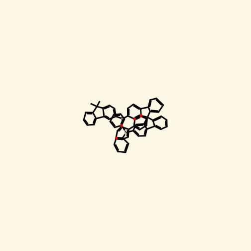 CC1(C)c2ccccc2-c2cc(N(c3ccc4c(c3)C3(c5ccccc5-c5ccc(N(c6ccccc6)c6ccccc6)cc53)c3ccccc3-4)c3ccccc3-c3ccccc3)ccc21